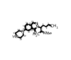 C=CCCC(C(=C)NC)n1ncc2ccc(N3CCNCC3)cc2c1=O